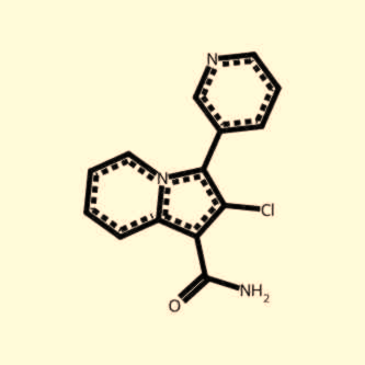 NC(=O)c1c(Cl)c(-c2cccnc2)n2ccccc12